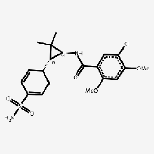 COc1cc(OC)c(C(=O)N[C@H]2[C@H](C3C=CC(S(N)(=O)=O)=CC3)C2(C)C)cc1Cl